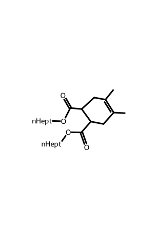 CCCCCCCOC(=O)C1CC(C)=C(C)CC1C(=O)OCCCCCCC